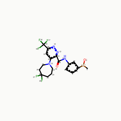 C[S+]([O-])c1cccc(NC(=O)c2nnc(C(F)(F)F)cc2N2CCCC(F)(F)CC2)c1